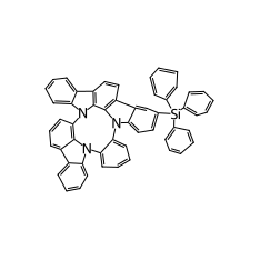 c1ccc([Si](c2ccccc2)(c2ccccc2)c2ccc3c(c2)c2ccc4c5ccccc5n5c6cccc7c8ccccc8n(c8ccccc8n3c2c45)c76)cc1